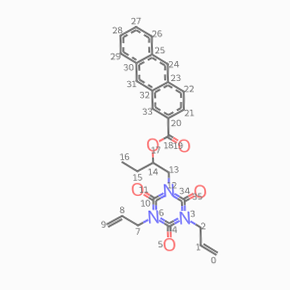 C=CCn1c(=O)n(CC=C)c(=O)n(CC(CC)OC(=O)c2ccc3cc4ccccc4cc3c2)c1=O